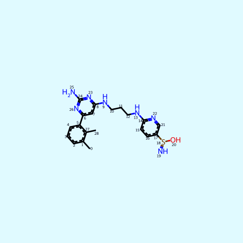 Cc1cccc(-c2cc(NCCCNc3ccc(S(=N)O)cn3)nc(N)n2)c1C